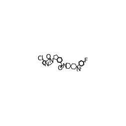 CN(C)C1(c2ccc(F)cc2)CCC2(CCN(C(=O)c3ccc4c(c3)C(N3CCn5ccc(Cl)c5C3=O)CC4)CC2)CC1